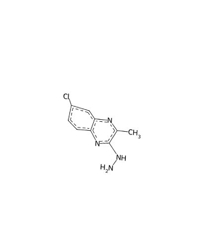 Cc1nc2cc(Cl)ccc2nc1NN